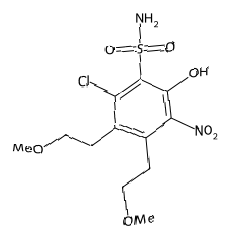 COCCc1c(Cl)c(S(N)(=O)=O)c(O)c([N+](=O)[O-])c1CCOC